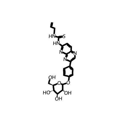 C=CCNC(=S)Nc1ccc2ncc(-c3ccc(OC4O[C@H](CO)[C@@H](O)[C@H](O)[C@H]4O)cc3)nc2n1